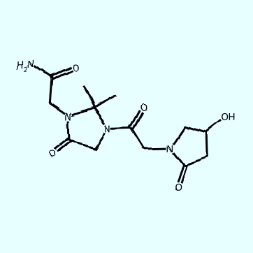 CC1(C)N(CC(N)=O)C(=O)CN1C(=O)CN1CC(O)CC1=O